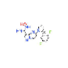 N=C(NO)c1cnn2ccc(N3CCC[C@@H]3c3cc(F)ccc3F)nc12